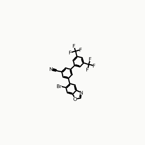 N#Cc1cc(-c2cc(C(F)(F)F)cc(C(F)(F)F)c2)cc(-c2cc3ncoc3cc2Br)c1